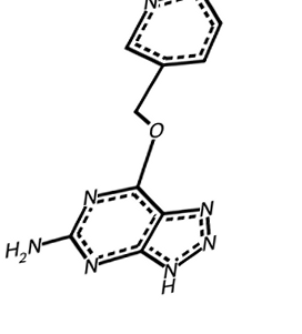 Nc1nc(OCc2cccnc2)c2nn[nH]c2n1